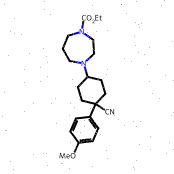 CCOC(=O)N1CCCN(C2CCC(C#N)(c3ccc(OC)cc3)CC2)CC1